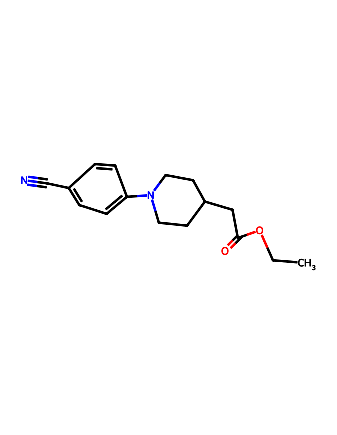 CCOC(=O)CC1CCN(c2ccc(C#N)cc2)CC1